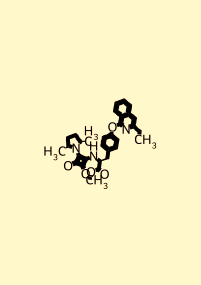 CCc1cc2ccccc2c(Oc2ccc(C[C@H](Nc3c(N4[C@H](C)CC[C@@H]4C)c(=O)c3=O)C(=O)OC)cc2)n1